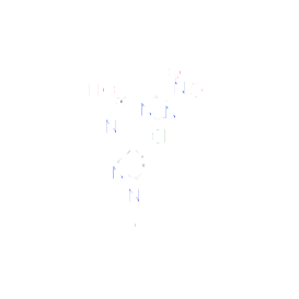 C[C@](O)(CN1CCc2nc(N3CCOCC3)ccc2C1)Cn1cc([N+](=O)[O-])nc1Cl